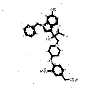 [C-]#[N+]c1ccc2c(C(O)(CN3CCC(Oc4ccc(CC(=O)O)cc4OC)CC3)C(F)F)cn(Cc3ccccc3)c2c1